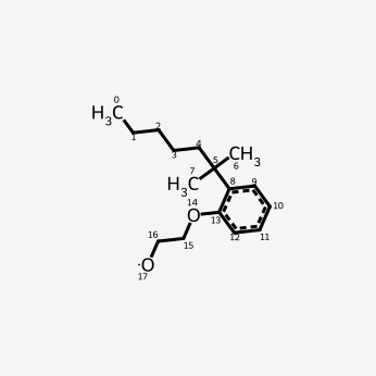 CCCCCC(C)(C)c1ccccc1OCC[O]